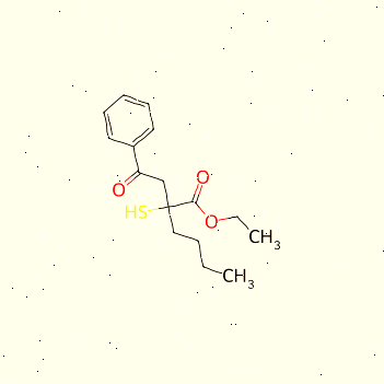 CCCCC(S)(CC(=O)c1ccccc1)C(=O)OCC